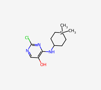 C[Si]1(C)CCC(Nc2nc(Cl)ncc2O)CC1